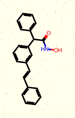 O=C(NO)C(c1ccccc1)c1cccc(C=Cc2ccccc2)c1